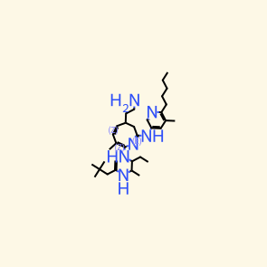 C=C(CC(C)(C)C)NC(C)C(CC)NC1=C(C)/C=C\C(CCN)C/C(Nc2cnc(CCCCC)c(C)c2)=N\1